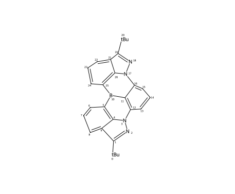 CC(C)(C)c1nn2c3c(cccc13)B1c3c-2cccc3-n2nc(C(C)(C)C)c3cccc1c32